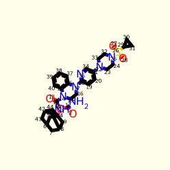 NC(=O)OC12CC3CC(C1)C(NC(=O)N1CCN(c4ccc(N5CCN(S(=O)(=O)C6CC6)CC5)cn4)c4ccccc41)C(C3)C2